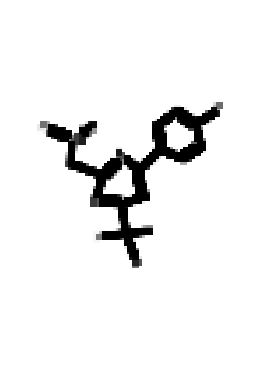 O=[SH](=O)Cc1nc(-c2ccc(F)cc2)cc(C(F)(F)F)n1